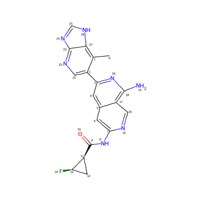 Cc1c(-c2cc3cc(NC(=O)[C@H]4C[C@H]4F)ncc3c(N)n2)cnc2nc[nH]c12